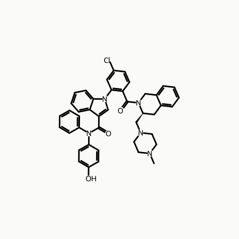 CN1CCN(C[C@@H]2Cc3ccccc3CN2C(=O)c2ccc(Cl)cc2-n2cc(C(=O)N(c3ccccc3)c3ccc(O)cc3)c3ccccc32)CC1